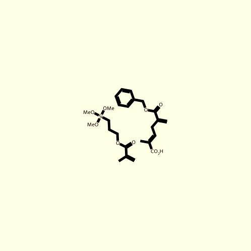 C=C(C)C(=O)OCCC[Si](OC)(OC)OC.C=C(CC=C(C)C(=O)O)C(=O)OCc1ccccc1